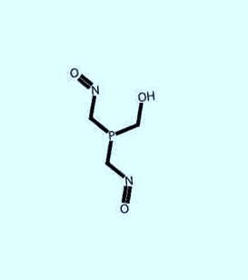 O=NCP(CO)CN=O